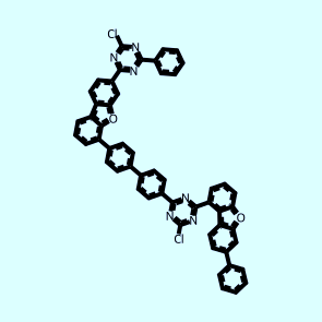 Clc1nc(-c2ccccc2)nc(-c2ccc3c(c2)oc2c(-c4ccc(-c5ccc(-c6nc(Cl)nc(-c7cccc8oc9cc(-c%10ccccc%10)ccc9c78)n6)cc5)cc4)cccc23)n1